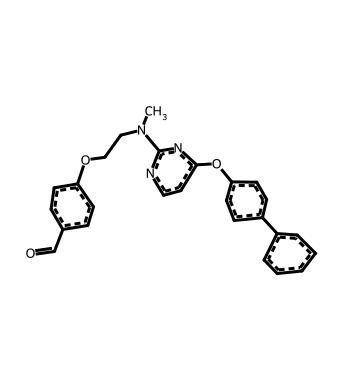 CN(CCOc1ccc(C=O)cc1)c1nccc(Oc2ccc(-c3ccccc3)cc2)n1